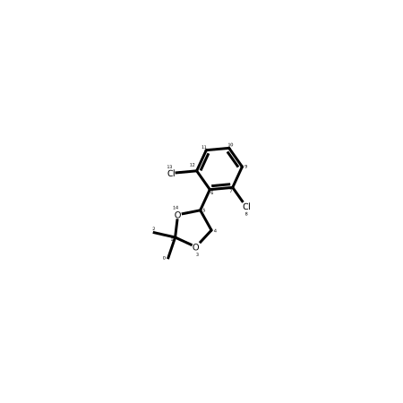 CC1(C)OCC(c2c(Cl)cccc2Cl)O1